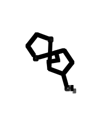 CC1CC2CCCC1C21OCCO1